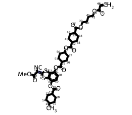 [C-]#[N+]/C(C(=O)OC)=C1/Sc2c(OC(=O)C3CCC(C)CC3)ccc(OC(=O)C3CCC(OC(=O)C4CCC(C(=O)OCCCCOC(=O)C=C)CC4)CC3)c2S1